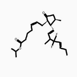 CC/C=C/C(F)(F)C(C)/C=C/[C@H]1[C@H](C)CC(=O)[C@@H]1C/C=C\CCCC(=O)OC(C)C